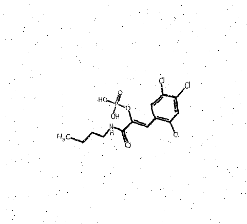 CCCCNC(=O)C(=Cc1cc(Cl)c(Cl)cc1Cl)OP(=O)(O)O